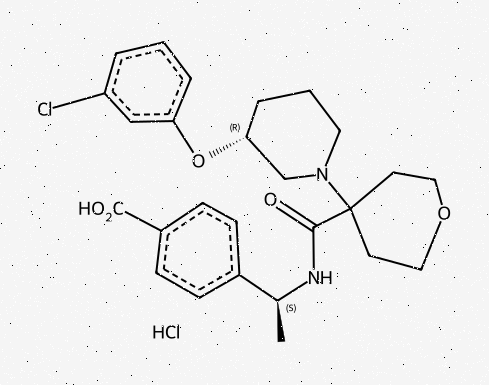 C[C@H](NC(=O)C1(N2CCC[C@@H](Oc3cccc(Cl)c3)C2)CCOCC1)c1ccc(C(=O)O)cc1.Cl